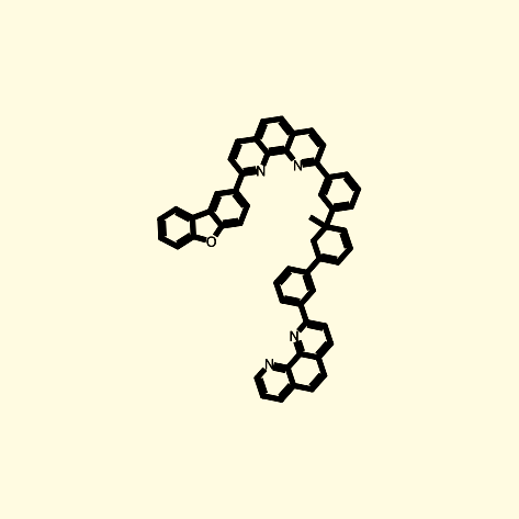 CC1(c2cccc(-c3ccc4ccc5ccc(-c6ccc7oc8ccccc8c7c6)nc5c4n3)c2)C=CC=C(c2cccc(-c3ccc4ccc5cccnc5c4n3)c2)C1